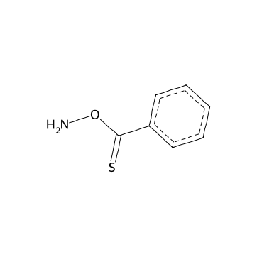 NOC(=S)c1ccccc1